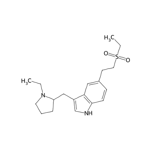 CCN1CCCC1Cc1c[nH]c2ccc(CCS(=O)(=O)CC)cc12